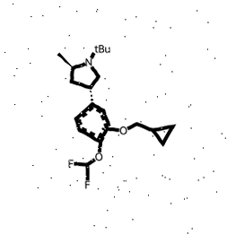 C[C@@H]1C[C@@H](c2ccc(OC(F)F)c(OCC3CC3)c2)CN1C(C)(C)C